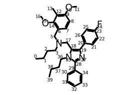 CCCCN(Cc1ccc(OC)c(C)c1OC)Cc1c(-c2ccc(F)cc2)nc(-c2ccccc2)n1CCCC